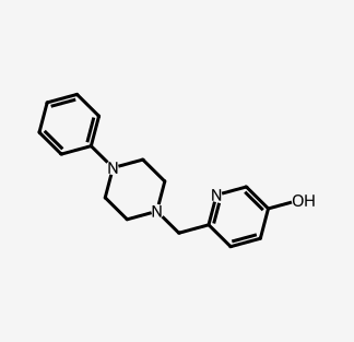 Oc1ccc(CN2CCN(c3ccccc3)CC2)nc1